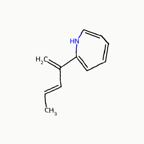 C=C(C=CC)C1=CC=CC=CN1